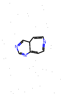 C1=CC2C=NC=NC2=CC=N1